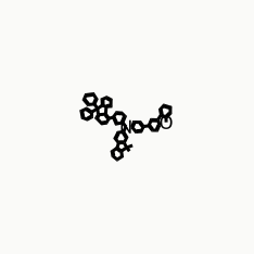 CC1(C)C2=C(C=CCC2)c2ccc(N(c3ccc(-c4ccc5oc6ccccc6c5c4)cc3)c3cccc(-c4cccc5c4-c4ccccc4C5(c4ccccc4)c4ccccc4)c3)cc21